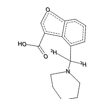 [2H]C([2H])(c1cccc2occ(C(=O)O)c12)N1CCCCC1